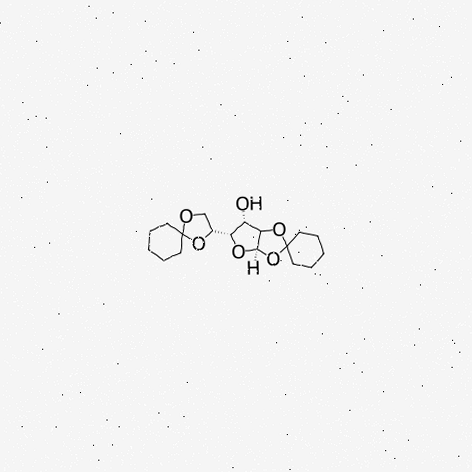 O[C@@H]1C2OC3(CCCCC3)O[C@H]2O[C@@H]1C1COC2(CCCCC2)O1